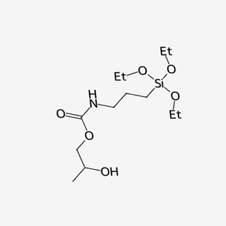 CCO[Si](CCCNC(=O)OCC(C)O)(OCC)OCC